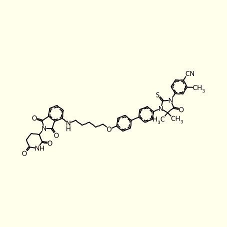 Cc1cc(N2C(=O)C(C)(C)N(c3ccc(-c4ccc(OCCCCCNc5cccc6c5C(=O)N(C5CCC(=O)NC5=O)C6=O)cc4)cc3)C2=S)ccc1C#N